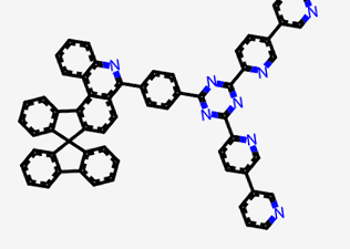 c1cncc(-c2ccc(-c3nc(-c4ccc(-c5nc6ccccc6c6c7c(ccc56)C5(c6ccccc6-c6ccccc65)c5ccccc5-7)cc4)nc(-c4ccc(-c5cccnc5)cn4)n3)nc2)c1